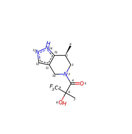 C[C@H]1CN(C(=O)C(C)(O)C(F)(F)F)Cc2cn[nH]c21